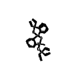 C=C[Si](C=C)(C=C)O[Si](C)(C)O[Si](O[Si](C=C)(C=C)C=C)(c1ccccc1)c1ccccc1